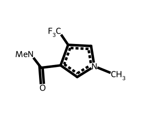 CNC(=O)c1cn(C)cc1C(F)(F)F